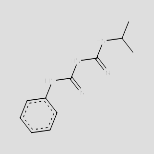 CC(C)NC(=N)NC(=N)Nc1ccccc1